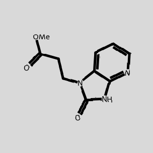 COC(=O)CCn1c(=O)[nH]c2ncccc21